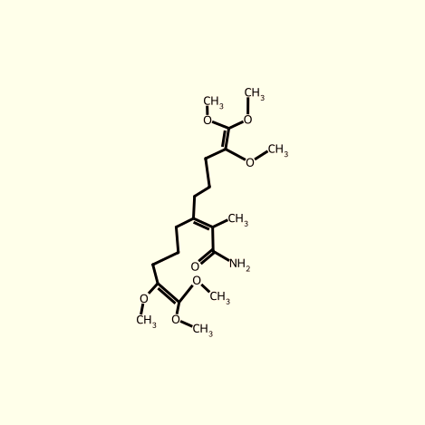 COC(CCCC(CCCC(OC)=C(OC)OC)=C(C)C(N)=O)=C(OC)OC